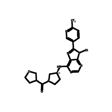 CCn1c(-c2ccc(C(F)(F)F)nc2)nc2c(N[C@H]3CCN(C(=O)C4CCOC4)C3)ncnc21